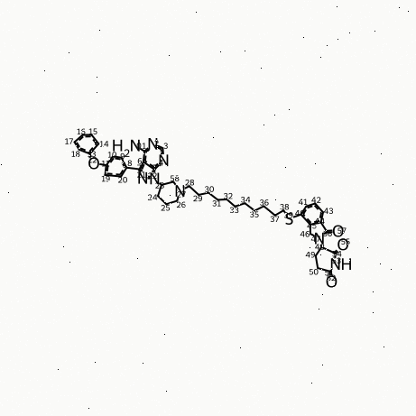 Nc1ncnc2c1c(-c1ccc(Oc3ccccc3)cc1)nn2C1CCCN(CCCCCCCCCCCSc2cccc3c2CN(C2CCC(=O)NC2=O)C3=O)C1